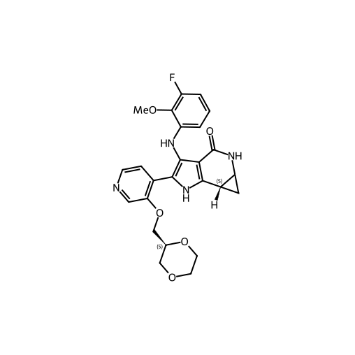 COc1c(F)cccc1Nc1c(-c2ccncc2OC[C@@H]2COCCO2)[nH]c2c1C(=O)NC1C[C@H]21